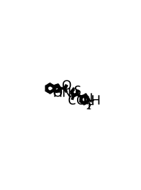 O=C(Nc1csc(-c2ccc(F)nc2)c1C(=O)O)c1cc2ccccc2o1